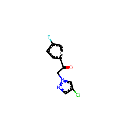 O=C(Cn1cc(Cl)cn1)c1ccc(F)cc1